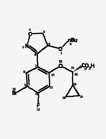 CCCCOC1CON=C1c1cc(Br)c(F)cc1O[C@H](C(=O)O)C1CC1